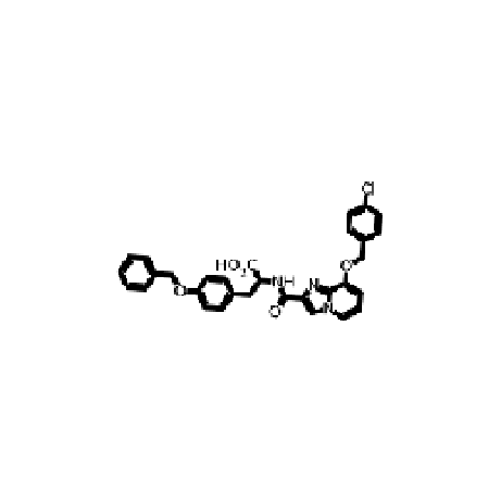 O=C(NC(Cc1ccc(OCc2ccccc2)cc1)C(=O)O)c1cn2cccc(OCc3ccc(Cl)cc3)c2n1